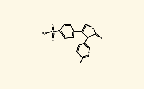 NS(=O)(=O)c1ccc(C2=COC(=O)C2c2ccc(F)cc2)cc1